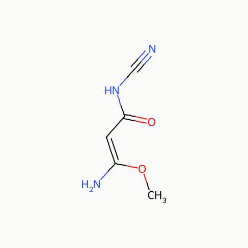 CO/C(N)=C\C(=O)NC#N